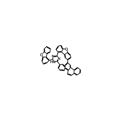 c1ccc(C2=NC(c3cccc4oc5ccc(-c6ccc7ccc8ccccc8c7c6)cc5c34)=NC(c3cccc4oc5ccccc5c34)N2)cc1